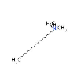 CCCCCCCCCCCCCCCCCCC[N+](CC)(CC)CC